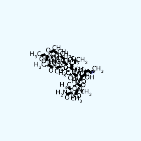 C/C=C\C[C@@H](C)[C@H](O)C(C(=O)N[C@@H](CC)C(=O)N(C)CC(=O)N(C)[C@@H](CCC)C(N)=O)N(C)C(=O)[C@H](C(C)C)N(C)C(=O)[C@@H](CC(C)C)N(C)C(=O)[C@H](CC(C)C)N(C)C(=O)[C@H](C)NC(=O)[C@H](CC)NC(=O)[C@@H](CC(C)C)N(C)C(=O)[C@H](C)C(C)C